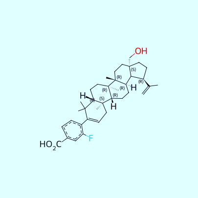 C=C(C)[C@@H]1CC[C@]2(CO)CC[C@]3(C)[C@H](CC[C@@H]4[C@@]5(C)CC=C(c6ccc(C(=O)O)cc6F)C(C)(C)[C@@H]5CC[C@]43C)C12